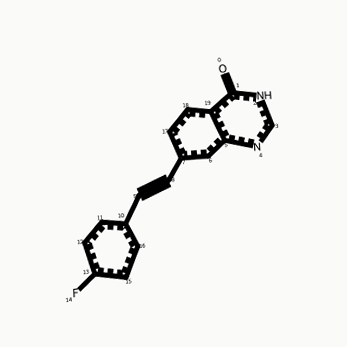 O=c1[nH]cnc2cc(C#Cc3ccc(F)cc3)ccc12